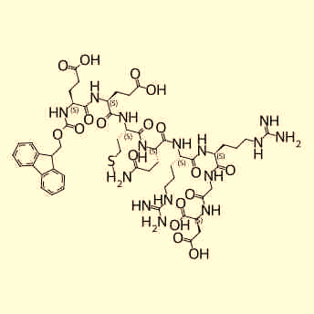 CSCC[C@H](NC(=O)[C@H](CCC(=O)O)NC(=O)[C@H](CCC(=O)O)NC(=O)OCC1c2ccccc2-c2ccccc21)C(=O)N[C@@H](CCC(N)=O)C(=O)N[C@@H](CCCNC(=N)N)C(=O)N[C@@H](CCCNC(=N)N)C(=O)NCC(=O)N[C@@H](CC(=O)O)C(=O)O